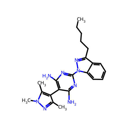 CCCCCc1nn(-c2nc(N)c(-c3c(C)nn(C)c3C)c(N)n2)c2ccccc12